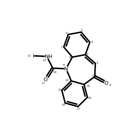 O=C1C=C2C=CC=CC2N(C(=O)NI)c2ccccc21